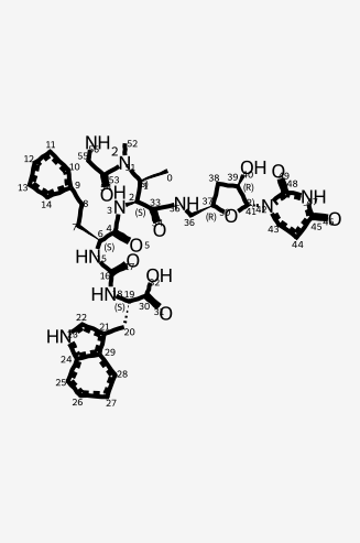 C[C@@H]([C@H](NC(=O)[C@H](CCc1ccccc1)NC(=O)N[C@@H](Cc1c[nH]c2ccccc12)C(=O)O)C(=O)NC[C@H]1C[C@@H](O)[C@H](n2ccc(=O)[nH]c2=O)O1)N(C)C(=O)CN